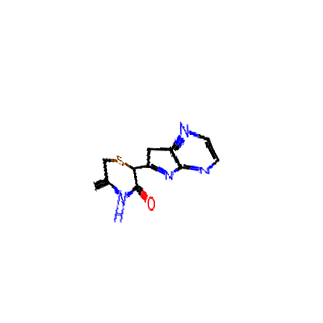 C=C1CSC(C2=Nc3nccnc3C2)C(=O)N1